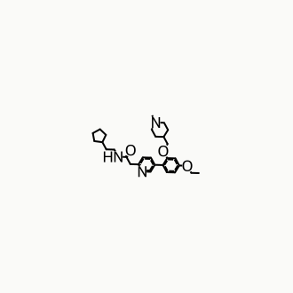 CCOc1ccc(-c2ccc(CC(=O)NCCC3CCCC3)nc2)c(OCC2CCN(C)CC2)c1